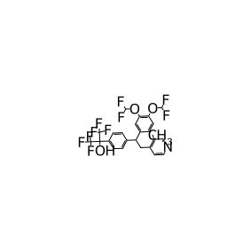 Cc1cnccc1CC(c1ccc(C(O)(C(F)(F)F)C(F)(F)F)cc1)c1ccc(OC(F)F)c(OC(F)F)c1